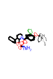 CC(C)Oc1ccc(C(=O)N2CCCC(c3ccccc3)C2C(=O)OC(N)=O)cc1Cl